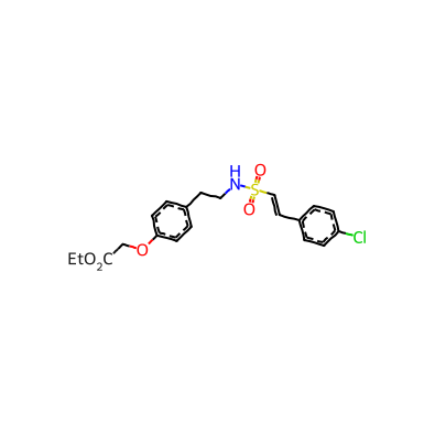 CCOC(=O)COc1ccc(CCNS(=O)(=O)C=Cc2ccc(Cl)cc2)cc1